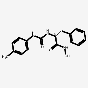 Cc1ccc(NC(=O)N[C@H](Cc2ccccc2)C(=O)NO)cc1